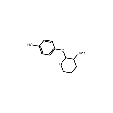 COC1CCCOC1Oc1ccc(O)cc1